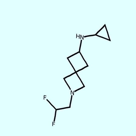 FC(F)CN1CC2(CC(NC3CC3)C2)C1